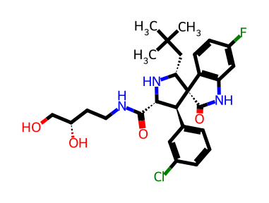 CC(C)(C)C[C@H]1N[C@@H](C(=O)NCC[C@H](O)CO)[C@H](c2cccc(Cl)c2)[C@@]12C(=O)Nc1cc(F)ccc12